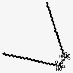 CCCCCCCCCCCCCCCCCCCCCCCCCCCCCC(=O)NC(CSSC[C@H](NC(=O)CCCCCCCCCCCCCCCCCCCCCCCCCCCCC)C(=O)OC)C(=O)OC